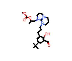 COC(=O)OC(C)CN1CCC[N+]2=C1N(CCCc1cc(C(C)(C)C)cc(C=O)c1O)CCC2